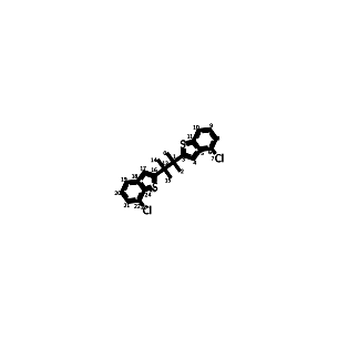 CC(C)(c1cc2c(Cl)cccc2s1)C(C)(C)c1cc2cccc(Cl)c2s1